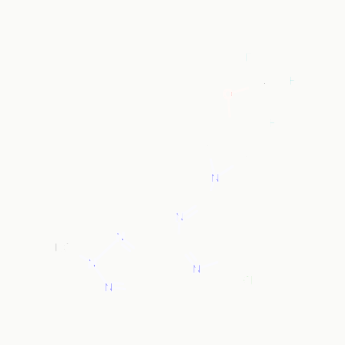 Cn1ncc(-c2nc(Cl)cc(N3CC(OC(F)(F)F)C3)n2)n1